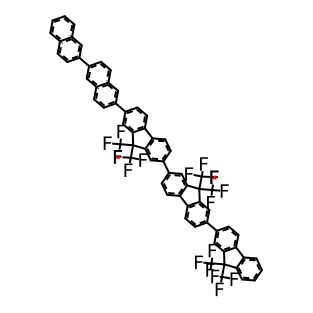 FC(F)(F)C1(C(F)(F)F)c2ccccc2-c2ccc(-c3ccc4c(c3)C(C(F)(F)F)(C(F)(F)F)c3cc(-c5ccc6c(c5)C(C(F)(F)F)(C(F)(F)F)c5cc(-c7ccc8cc(-c9ccc%10ccccc%10c9)ccc8c7)ccc5-6)ccc3-4)cc21